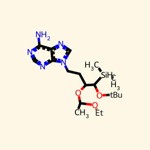 CCOC(C)OC(CCn1cnc2c(N)ncnc21)C(OC(C)(C)C)[SiH](C)C